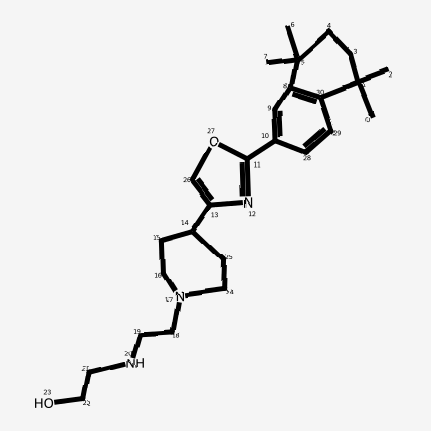 CC1(C)CCC(C)(C)c2cc(-c3nc(C4CCN(CCNCCO)CC4)co3)ccc21